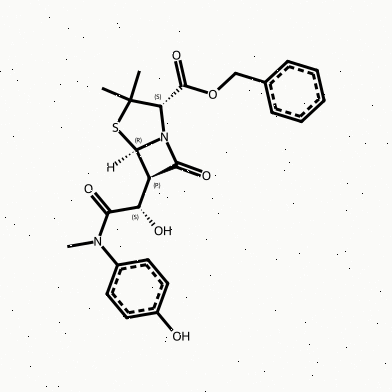 CN(C(=O)[C@@H](O)[C@@H]1C(=O)N2[C@@H]1SC(C)(C)[C@@H]2C(=O)OCc1ccccc1)c1ccc(O)cc1